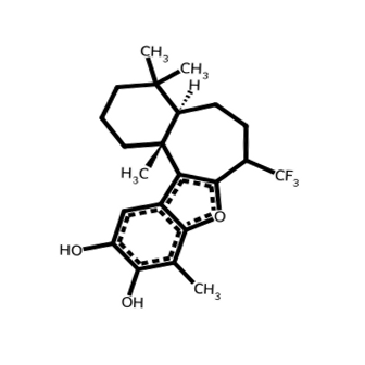 Cc1c(O)c(O)cc2c3c(oc12)C(C(F)(F)F)CC[C@@H]1C(C)(C)CCC[C@@]31C